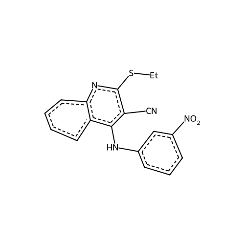 CCSc1nc2ccccc2c(Nc2cccc([N+](=O)[O-])c2)c1C#N